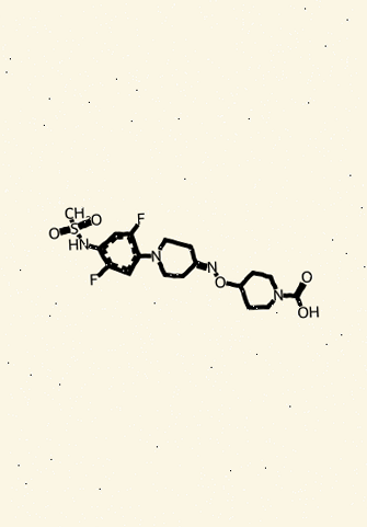 CS(=O)(=O)Nc1cc(F)c(N2CCC(=NOC3CCN(C(=O)O)CC3)CC2)cc1F